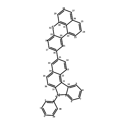 c1ccc(-n2c3ccccc3c3c4ccc(-c5ccc6c(c5)-c5cccc7cccc(c57)S6)cc4ccc32)cc1